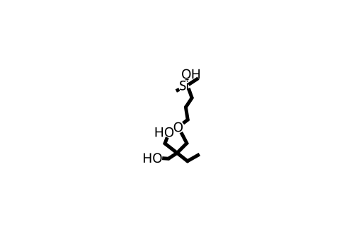 CCC(CO)(CO)COCCC[Si](C)(C)O